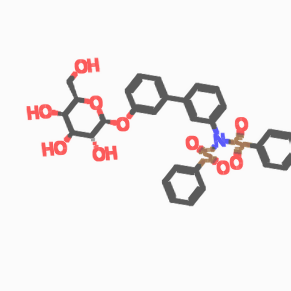 O=S(=O)(c1ccccc1)N(c1cccc(-c2cccc(O[C@@H]3O[C@H](CO)[C@H](O)[C@H](O)[C@H]3O)c2)c1)S(=O)(=O)c1ccccc1